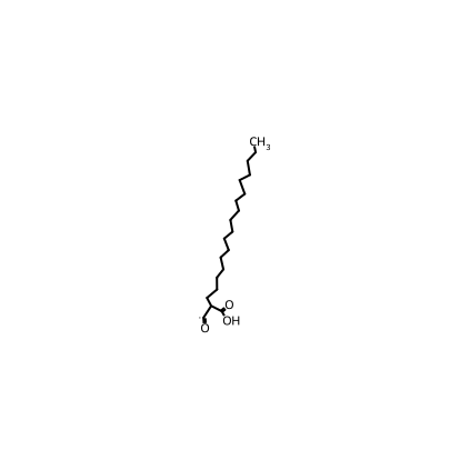 CCCCCCCCCCCCCCCCCC([C]=O)C(=O)O